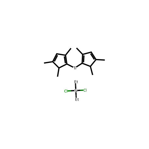 CC1=CC(C)=[C]([Ti][C]2=C(C)C=C(C)C2C)C1C.CC[Si](Cl)(Cl)CC